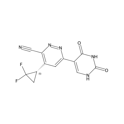 N#Cc1nnc(-c2c[nH]c(=O)[nH]c2=O)cc1[C@@H]1CC1(F)F